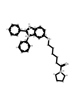 O=C(CCCCCOc1ccc2nc(-c3ccccc3)n(-c3ccccc3)c2c1)N1CCCC1